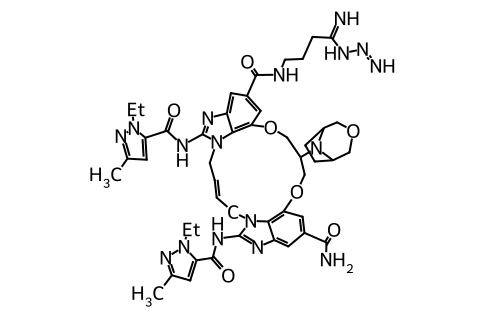 CCn1nc(C)cc1C(=O)Nc1nc2cc(C(N)=O)cc3c2n1C/C=C/Cn1c(NC(=O)c2cc(C)nn2CC)nc2cc(C(=O)NCCCC(=N)NN=N)cc(c21)OCC(N1C2CCC1COC2)CO3